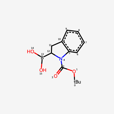 CC(C)(C)OC(=O)N1c2ccccc2CC1B(O)O